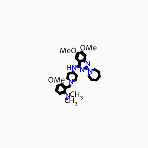 COc1cc2nc(N3CCCCCC3)nc(NC3CCN(Cc4c(OC)cccc4N(C)C)CC3)c2cc1OC